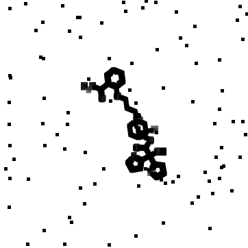 NC(=O)c1ccccc1OCCC[N+]12CCC(CC1)[C@@H](OC(=O)C(O)(c1cccs1)c1cccs1)C2